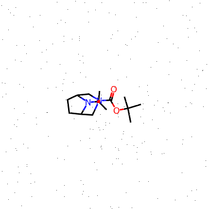 CC(C)N1C2CCC1CN(C(=O)OC(C)(C)C)C2